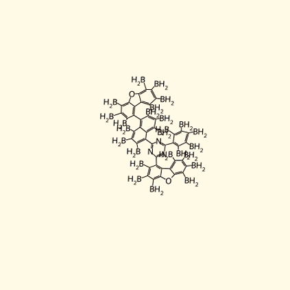 Bc1c(B)c(B)c(-c2nc(-c3c(B)c(B)c(B)c4c(-c5c(B)c(B)c(B)c6oc7c(B)c(B)c(B)c(B)c7c56)c(B)c(B)c(B)c34)nc(-c3c(B)c(B)c(B)c4oc5c(B)c(B)c(B)c(B)c5c34)n2)c(B)c1B